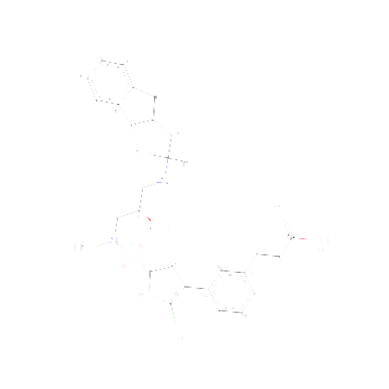 CN(C[C@H](O)CNC(C)(C)CC1Cc2ccccc2C1)S(=O)(=O)C1CC(c2cccc(CCC(=O)O)c2)=C(Cl)S1